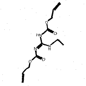 C=CCOC(=O)/N=C(\NCC)NC(=O)OCC=C